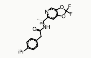 CC(C)c1ccc(CC(=O)N[C@H](C)c2cc3c(cn2)OC(F)(F)O3)cc1